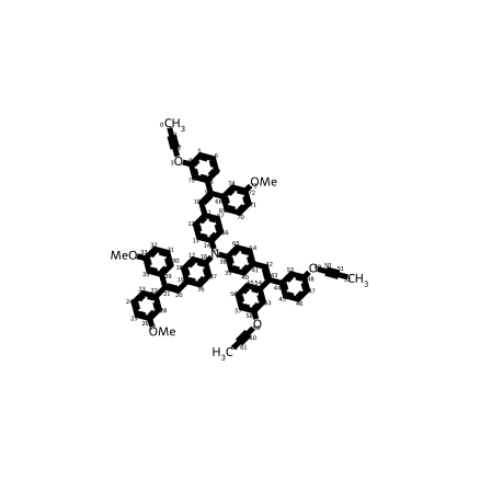 CC#COc1cccc(C(=Cc2ccc(N(c3ccc(C=C(c4cccc(OC)c4)c4cccc(OC)c4)cc3)c3ccc(C=C(c4cccc(OC#CC)c4)c4cccc(OC#CC)c4)cc3)cc2)c2cccc(OC)c2)c1